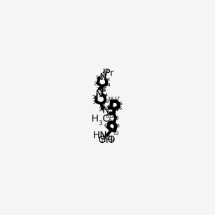 Cc1c(Cc2ccc(C(=O)NO)cc2)c2ccccc2n1CC1CCN(CC2(F)CCN(C(C)C)CC2)CC1